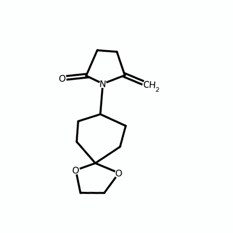 C=C1CCC(=O)N1C1CCC2(CC1)OCCO2